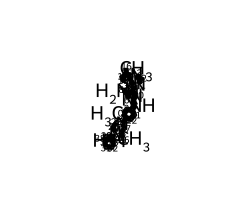 Cc1cc(Nc2nc(N)n(-c3ncnc4c(C)csc34)n2)ccc1N1CCN([C@H]2C[C@@H]3CC[C@H]2C3)C(C)C1